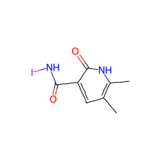 Cc1cc(C(=O)NI)c(=O)[nH]c1C